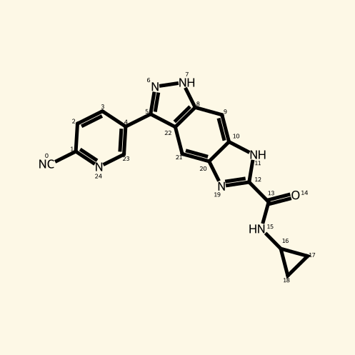 N#Cc1ccc(-c2n[nH]c3cc4[nH]c(C(=O)NC5CC5)nc4cc23)cn1